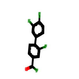 O=C(F)c1ccc(-c2ccc(F)c(F)c2)c(F)c1